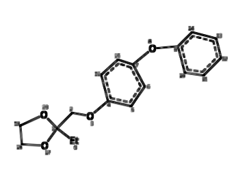 CCC1(COc2ccc(Oc3ccccc3)cc2)OCCO1